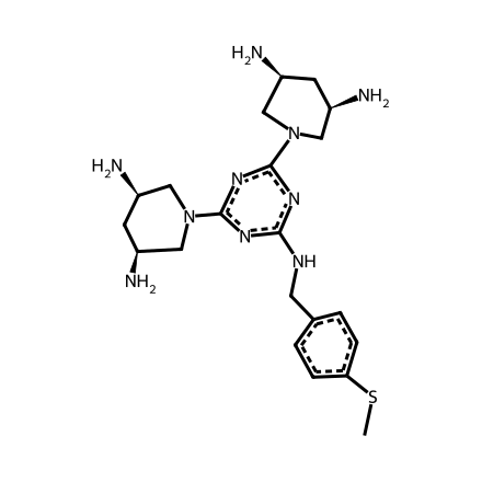 CSc1ccc(CNc2nc(N3C[C@H](N)C[C@H](N)C3)nc(N3C[C@H](N)C[C@H](N)C3)n2)cc1